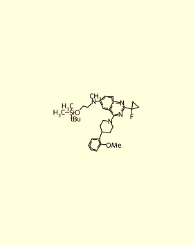 COc1ccccc1C1CCN(c2nc(C3(F)CC3)nc3ccc(N(C)CCO[Si](C)(C)C(C)(C)C)cc23)CC1